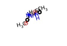 COc1ccc(-c2nnc(SCC(=O)Nc3cccc(C)c3C)[nH]2)cc1